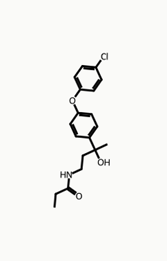 CCC(=O)NCCC(C)(O)c1ccc(Oc2ccc(Cl)cc2)cc1